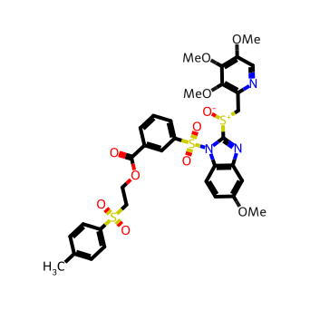 COc1ccc2c(c1)nc([S+]([O-])Cc1ncc(OC)c(OC)c1OC)n2S(=O)(=O)c1cccc(C(=O)OCCS(=O)(=O)c2ccc(C)cc2)c1